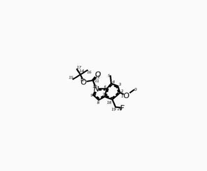 COc1cc(C)c2c(ccn2C(=O)OC(C)(C)C)c1CF